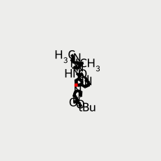 Cc1cn2cc(NC(=O)c3ccc(N4CCN(C(=O)OC(C)(C)C)CC4)c4ccnnc34)nc(C)c2n1